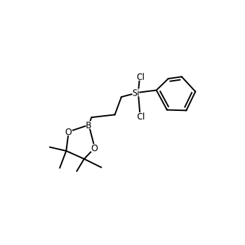 CC1(C)OB(CCC[Si](Cl)(Cl)c2ccccc2)OC1(C)C